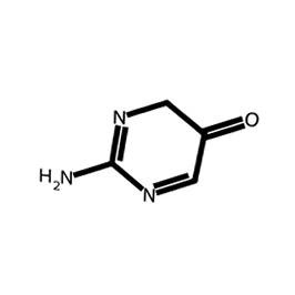 NC1=NCC(=O)C=N1